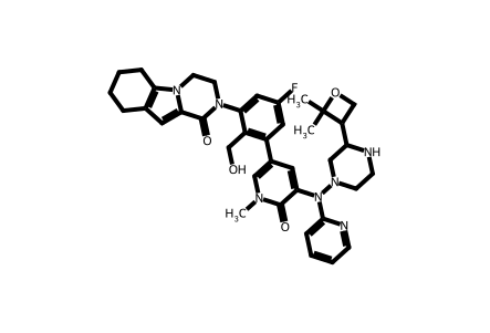 Cn1cc(-c2cc(F)cc(N3CCn4c(cc5c4CCCC5)C3=O)c2CO)cc(N(c2ccccn2)N2CCNC(C3COC3(C)C)C2)c1=O